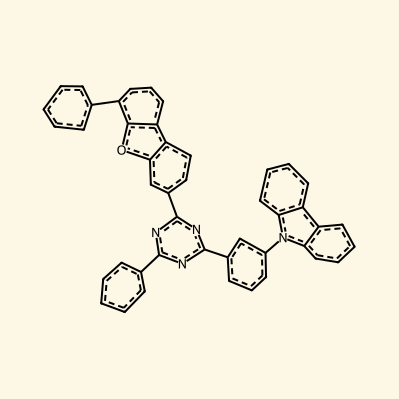 c1ccc(-c2nc(-c3cccc(-n4c5ccccc5c5ccccc54)c3)nc(-c3ccc4c(c3)oc3c(-c5ccccc5)cccc34)n2)cc1